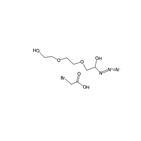 O=C(O)CBr.[N-]=[N+]=NC(O)COCCOCCO